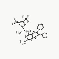 Cc1nc(N[C@H](C)c2cc([N+](=O)[O-])cc(C(F)(F)F)c2)c2cc(-c3ccccc3)c(N3CCCC3)nc2n1